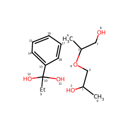 CC(O)COC(C)CO.CCC(O)(O)c1ccccc1